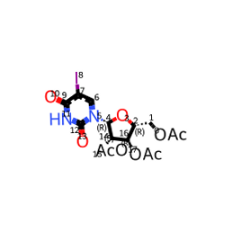 CC(=O)OC[C@H]1O[C@@H](n2cc(I)c(=O)[nH]c2=O)[C@@H](OC(C)=O)[C@@H]1OC(C)=O